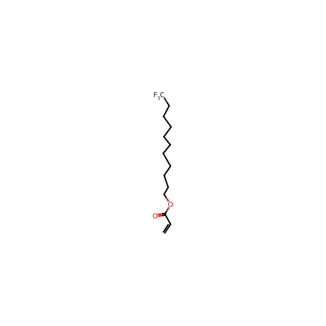 C=CC(=O)OCCCCCCCCCCC(F)(F)F